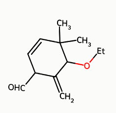 C=C1C(C=O)C=CC(C)(C)C1OCC